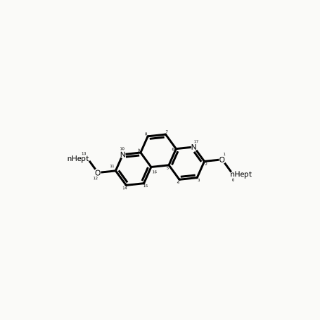 CCCCCCCOc1ccc2c(ccc3nc(OCCCCCCC)ccc32)n1